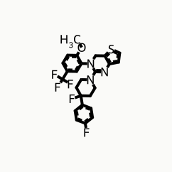 COc1ccc(C(F)(F)F)cc1N1Cc2sccc2N=C1N1CCC(F)(c2ccc(F)cc2)CC1